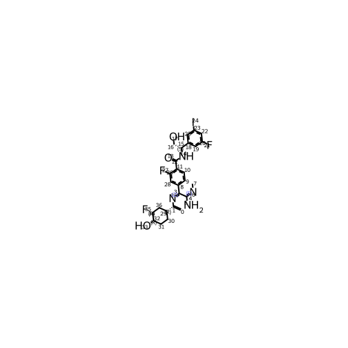 C=C(/N=C(\C(N)=N/C)c1ccc(C(=O)N[C@H](CO)c2cc(F)cc(I)c2)c(F)c1)[C@@H]1CC[C@@H](O)[C@H](F)C1